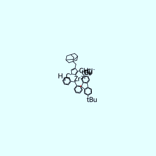 CC1=[C]([Zr+2](=[C](c2ccccc2)c2ccccc2)[c]2c(C(C)(C)C)ccc3c2Cc2cc(C(C)(C)C)ccc2-3)C(C)C=C1CC12CC3CC(CC(C3)C1)C2.[Cl-].[Cl-]